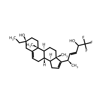 CC[C@]1(O)CC[C@@]2(C)C(=CC[C@@H]3[C@@H]2CC[C@]2(C)C([C@H](C)/C=C/C(O)C(F)(F)F)=CC[C@@H]32)C1